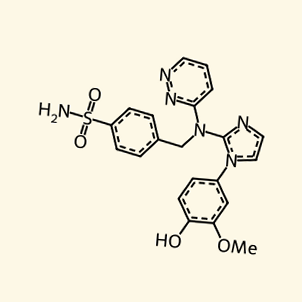 COc1cc(-n2ccnc2N(Cc2ccc(S(N)(=O)=O)cc2)c2cccnn2)ccc1O